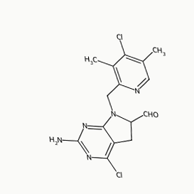 Cc1cnc(CN2c3nc(N)nc(Cl)c3CC2C=O)c(C)c1Cl